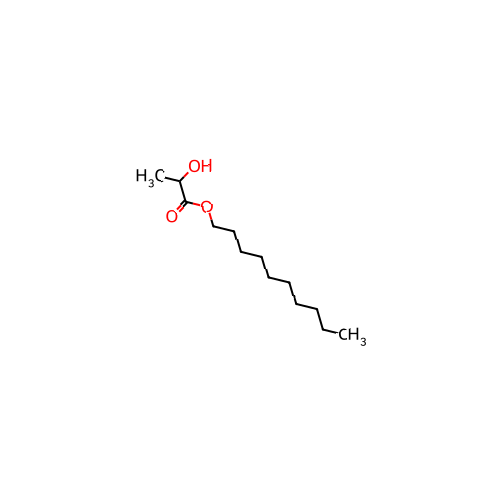 CCCCCCCCCCOC(=O)C(C)O